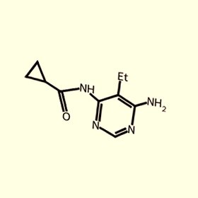 CCc1c(N)ncnc1NC(=O)C1CC1